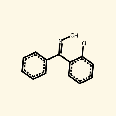 ON=C(c1ccccc1)c1ccccc1Cl